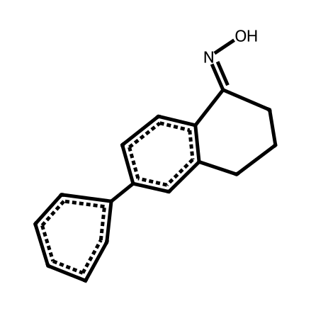 ON=C1CCCc2cc(-c3ccccc3)ccc21